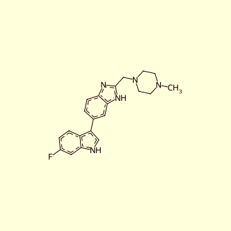 CN1CCN(Cc2nc3ccc(-c4c[nH]c5cc(F)ccc45)cc3[nH]2)CC1